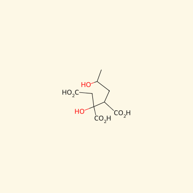 CC(O)CC(C(=O)O)C(O)(CC(=O)O)C(=O)O